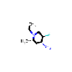 CCN1C[C@@H](F)[C@H](N)C[C@@H]1C